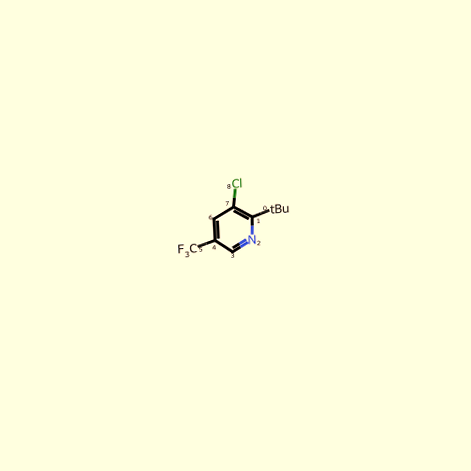 CC(C)(C)c1ncc(C(F)(F)F)cc1Cl